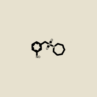 O=Nc1cccc(CS(=O)(=O)N2CCCCCC2)c1